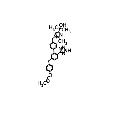 COCOc1ccc(Cc2ccc(-c3nn[nH]n3)c(-c3ccc(Cn4cc(C(C)(C)O)nc4C)cc3)c2)cc1